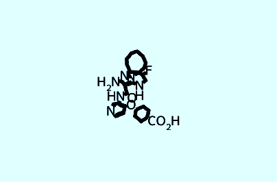 Nc1nn2c(c1C(=O)Nc1cnccc1OC1CCC(C(=O)O)CC1)NCC(F)C21CCCCCCCC1